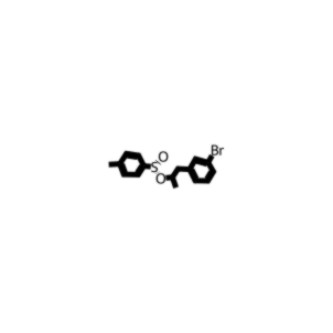 Cc1ccc(S(=O)OC(C)Cc2cccc(Br)c2)cc1